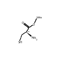 CSOC(=O)[C@@H](N)CS